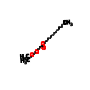 CCCCCCCCCCCCCCCCOC(=O)CCCOCCOCC(C)C